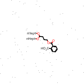 CCCCCCCOC(CCCOC(=O)c1ccccc1C(=O)O)OCCCCCCC